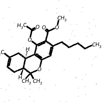 CCCCCc1cc2c(c(OC(C)=O)c1C(=O)OC)[C@@H]1CC(C)=CC[C@H]1C(C)(C)O2